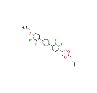 BCOc1ccc(-c2ccc(-c3ccc(C4COC(CCC=C)OC4)c(F)c3F)cc2)c(F)c1F